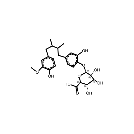 COc1cc(CC(C)C(C)Cc2ccc(O[C@@H]3O[C@H](C(=O)O)[C@@H](O)[C@H](O)[C@H]3O)c(O)c2)ccc1O